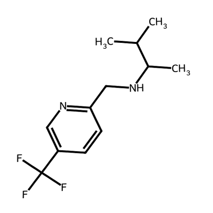 CC(C)C(C)NCc1ccc(C(F)(F)F)cn1